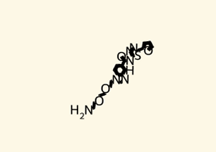 NCCOCCOCCn1cnc2cc(C(=O)Nc3nnc(-c4ccco4)s3)ccc21